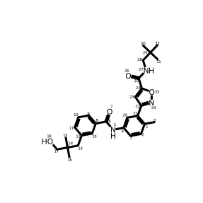 Cc1ccc(NC(=O)c2cccc(CC(C)(C)CO)c2)cc1-c1cc(C(=O)NCC(C)(C)C)on1